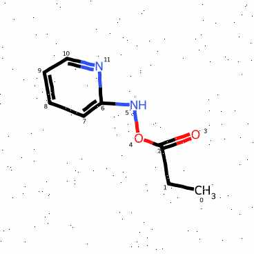 CCC(=O)ONc1ccccn1